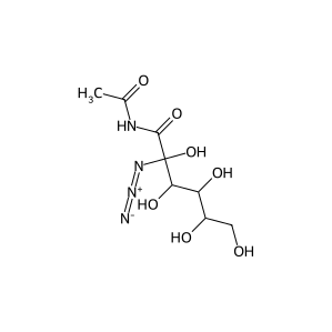 CC(=O)NC(=O)C(O)(N=[N+]=[N-])C(O)C(O)C(O)CO